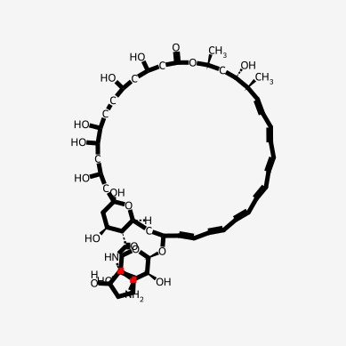 C[C@H]1C[C@H](O)[C@@H](C)/C=C/C=C/C=C/C=C/C=C/C=C/C=C/C(O[C@@H]2OC[C@@H](O)[C@H](N)[C@@H]2O)C[C@@H]2OC(O)(CC(O)CC(O)C(O)CCC(O)CC(O)CC(=O)O1)C[C@H](O)[C@H]2C(=O)N[C@@H]1CCCC1O